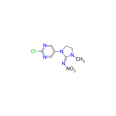 CN1CCN(c2cnc(Cl)nc2)C1=N[N+](=O)[O-]